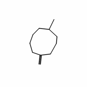 CC1CCCCC(=O)CCC1